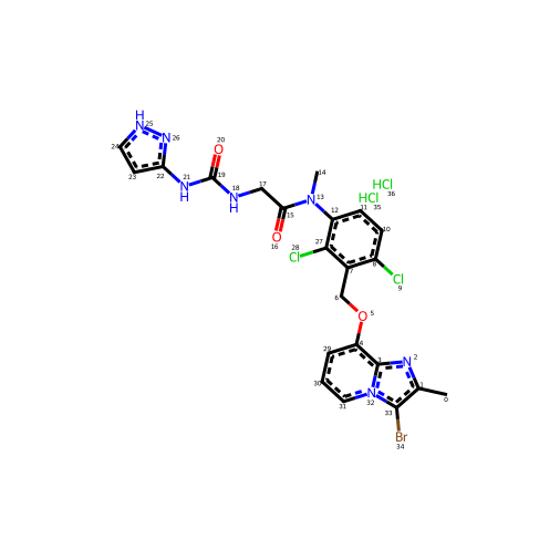 Cc1nc2c(OCc3c(Cl)ccc(N(C)C(=O)CNC(=O)Nc4cc[nH]n4)c3Cl)cccn2c1Br.Cl.Cl